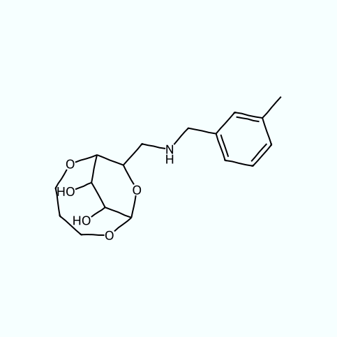 Cc1cccc(CNCC2OC3OCCCOC2C(O)C3O)c1